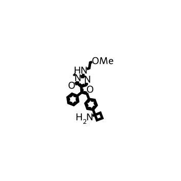 COCCNc1nc2oc(-c3ccc(C4(N)CCC4)cc3)c(-c3ccccc3)c2c(=O)n1C